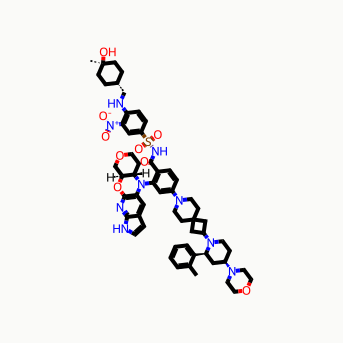 Cc1ccccc1[C@@H]1C[C@H](N2CCOCC2)CCN1C1CC2(CCN(c3ccc(C(=O)NS(=O)(=O)c4ccc(NC[C@H]5CC[C@](C)(O)CC5)c([N+](=O)[O-])c4)c(N4c5cc6cc[nH]c6nc5O[C@H]5COCC[C@@H]54)c3)CC2)C1